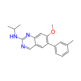 COc1cc2nc(NC(C)C)ncc2cc1-c1cccc(C)c1